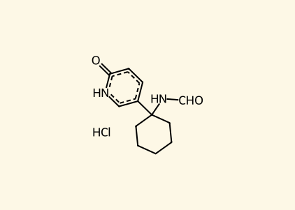 Cl.O=CNC1(c2ccc(=O)[nH]c2)CCCCC1